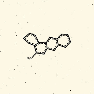 [SiH3]c1cc2cc3ccccc3cc2c2ccccc12